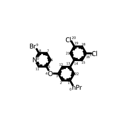 CCCc1cc(Oc2ccc(Br)nc2)cc(-c2cc(Cl)cc(Cl)c2)c1